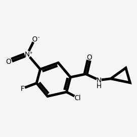 O=C(NC1CC1)c1cc([N+](=O)[O-])c(F)cc1Cl